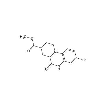 COC(=O)C1CCN2c3ccc(Br)cc3NC(=O)C2C1